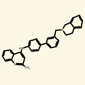 Cc1cc(Nc2ccc(-c3cccc(CN4CCc5ccccc5C4)c3)cc2)c2ccccc2n1